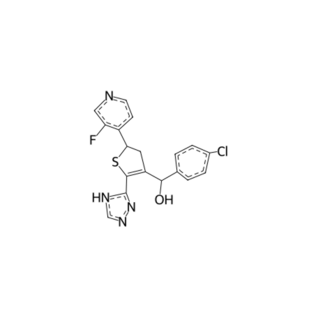 OC(C1=C(c2nnc[nH]2)SC(c2ccncc2F)C1)c1ccc(Cl)cc1